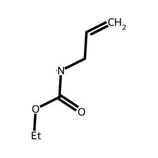 C=CC[N]C(=O)OCC